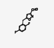 O=Cc1cc(Cc2cc(F)ccc2F)on1